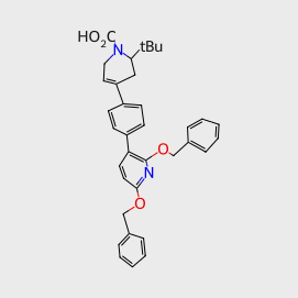 CC(C)(C)C1CC(c2ccc(-c3ccc(OCc4ccccc4)nc3OCc3ccccc3)cc2)=CCN1C(=O)O